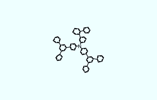 c1ccc(-c2cc(-c3ccccc3)cc(-c3ccc(N(c4ccc(-c5cc(-c6ccccc6)cc(-c6ccccc6)c5)cc4)c4cccc(-c5ccccc5-c5ccccc5)c4)cc3)c2)cc1